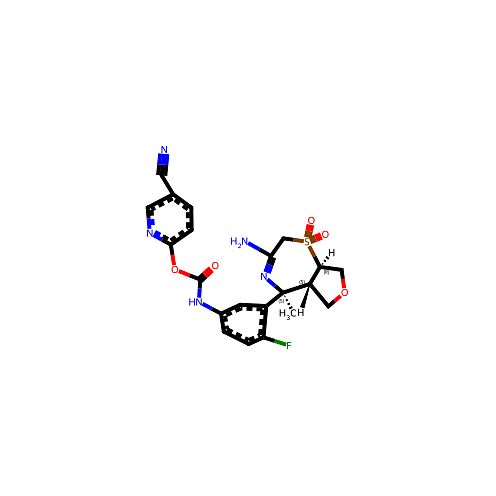 C[C@]1(c2cc(NC(=O)Oc3ccc(C#N)cn3)ccc2F)N=C(N)CS(=O)(=O)[C@H]2COC[C@@H]21